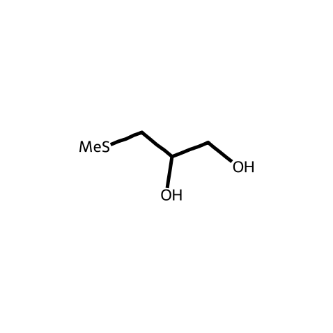 CSCC(O)CO